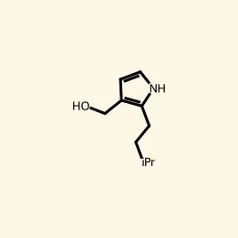 CC(C)CCc1[nH]ccc1CO